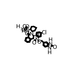 CS(=O)(=O)N[C@H]1CCCC[C@@H]1N1C(=O)c2ccccc2[C@@H](C(=O)NOCc2ccc3[nH]c(=O)[nH]c3c2)[C@@H]1c1ccc(Cl)cc1